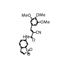 COc1cc(C=C(C#N)C(=O)Nc2ccc3c(c2)S(=O)(=O)C=C3)cc(OC)c1OC